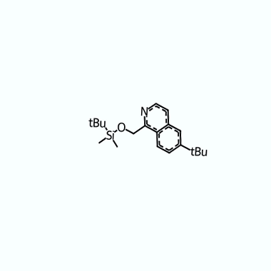 CC(C)(C)c1ccc2c(CO[Si](C)(C)C(C)(C)C)nccc2c1